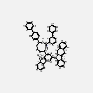 C[C@@H]1CCC(c2ccc(-c3ccccc3)cc2)N/C(c2cccc(-c3ccccc3)c2)=N\C1c1cc(N2c3ccccc3C3=Cc4ccccc4CC32)cc2c1OC1C=CC=CC21